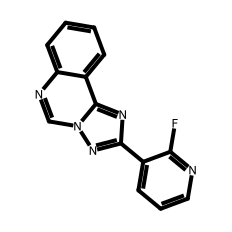 Fc1ncccc1-c1nc2c3ccccc3ncn2n1